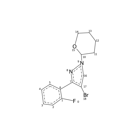 Fc1ccccc1-c1nn(C2CCCCO2)cc1Br